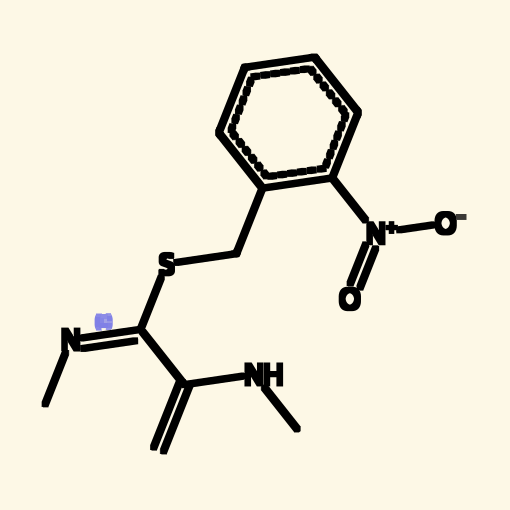 C=C(NC)/C(=N\C)SCc1ccccc1[N+](=O)[O-]